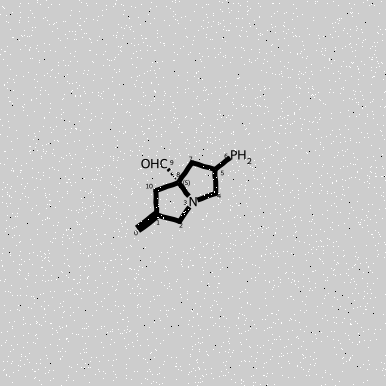 C=C1CN2CC(P)C[C@]2(C=O)C1